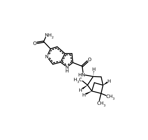 C[C@@H]1[C@@H](NC(=O)c2cc3cc(C(N)=O)ncc3[nH]2)C[C@H]2C[C@@H]1C2(C)C